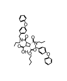 CCCCOC(=O)[C@@H]1[C@@H](C(=O)O)[C@@H](C(=O)N(CCC)Cc2ccc(Oc3ccccc3)cc2)[C@@H]1C(=O)N(CCC)Cc1ccc(Oc2ccccc2)cc1